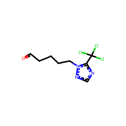 O=CCCCCn1ncnc1C(Cl)(Cl)Cl